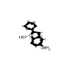 Cl.Nc1ccc2oc(-c3ccccc3)cc2c1